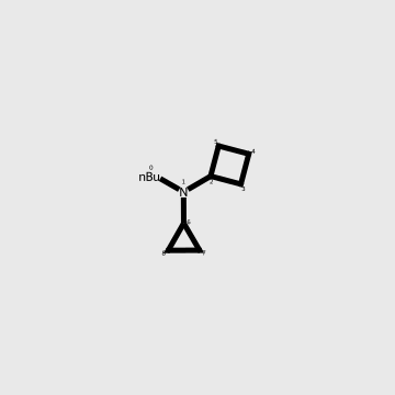 [CH2]CCCN(C1CCC1)C1CC1